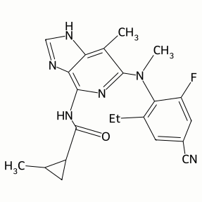 CCc1cc(C#N)cc(F)c1N(C)c1nc(NC(=O)C2CC2C)c2nc[nH]c2c1C